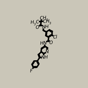 CC(C)(C)C(=O)NCc1ccc(Cl)c(C(=O)NC2=CC3C=C(c4ccc(F)cc4)NC3N=C2)c1